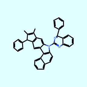 CC1=C(C)C(c2ccccc2)c2cc3c4c5ccccc5ccc4n(-c4nc(-c5ccccc5)c5ccccc5n4)c3cc21